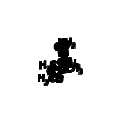 CC1=C2C(=CC(C)(C)[C@@H]2OC(=O)c2ccc(S(N)(=O)=O)cc2)C(=O)[C@@H](C)C12CC2